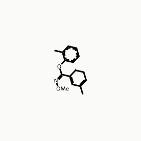 CO/N=C(/Oc1ccccc1C)C1=CC(C)=CC[CH]1